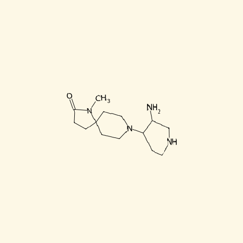 CN1C(=O)CCC12CCN(C1CCNCC1N)CC2